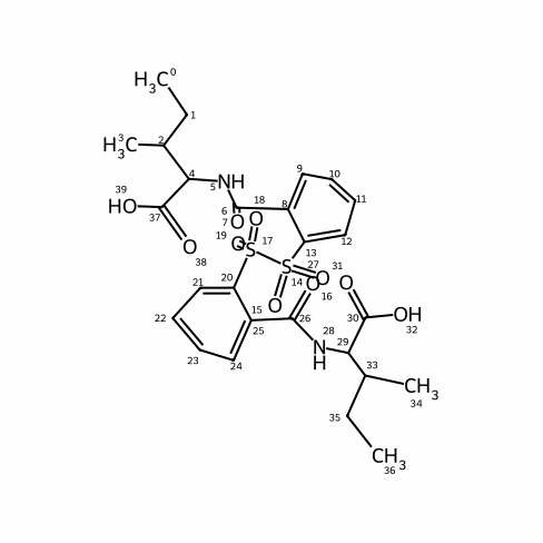 CCC(C)C(NC(=O)c1ccccc1S(=O)(=O)S(=O)(=O)c1ccccc1C(=O)NC(C(=O)O)C(C)CC)C(=O)O